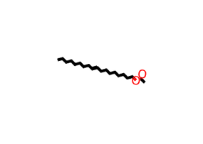 CCCCCCCCC=CCCCCCCCCOC(C)=O